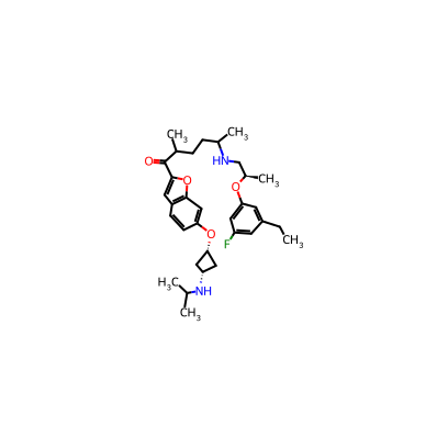 CCc1cc(F)cc(O[C@H](C)CNC(C)CCC(C)C(=O)c2cc3ccc(O[C@H]4C[C@@H](NC(C)C)C4)cc3o2)c1